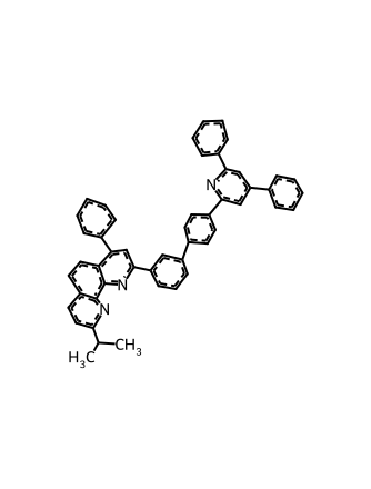 CC(C)c1ccc2ccc3c(-c4ccccc4)cc(-c4cccc(-c5ccc(-c6cc(-c7ccccc7)cc(-c7ccccc7)n6)cc5)c4)nc3c2n1